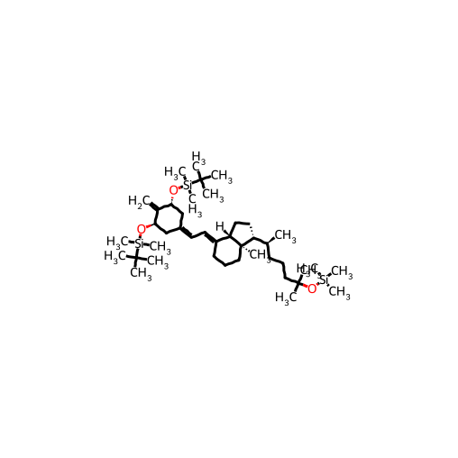 C=C1[C@H](O[Si](C)(C)C(C)(C)C)CC(=C/C=C2\CCC[C@]3(C)[C@@H]([C@@H](C)CCCC(C)(C)O[Si](C)(C)C)CC[C@@H]23)C[C@H]1O[Si](C)(C)C(C)(C)C